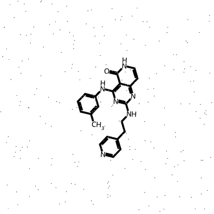 Cc1cccc(Nc2nc(NCCc3ccncc3)nc3cc[nH]c(=O)c23)c1